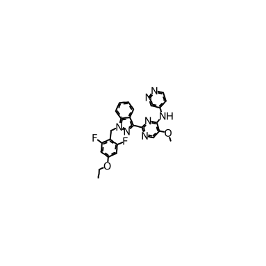 CCOc1cc(F)c(Cn2nc(-c3ncc(OC)c(Nc4ccnnc4)n3)c3ccccc32)c(F)c1